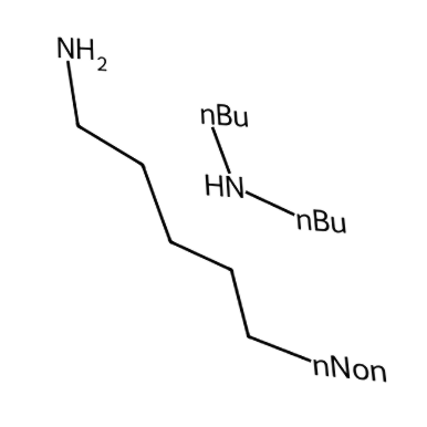 CCCCCCCCCCCCCCN.CCCCNCCCC